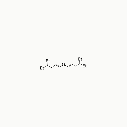 CCC(CC)CC=COC=CCC(CC)CC